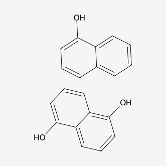 Oc1cccc2c(O)cccc12.Oc1cccc2ccccc12